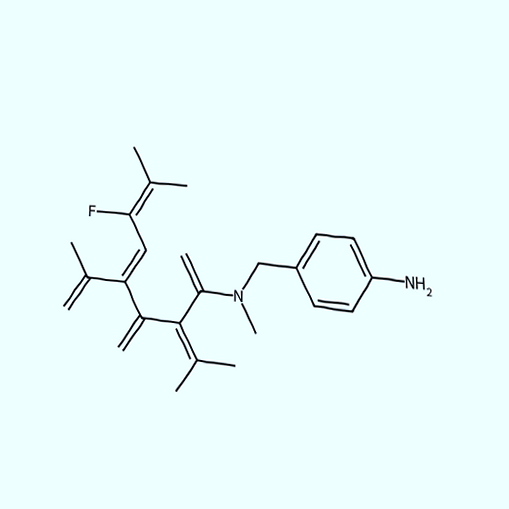 C=C(C)/C(=C\C(F)=C(C)C)C(=C)C(C(=C)N(C)Cc1ccc(N)cc1)=C(C)C